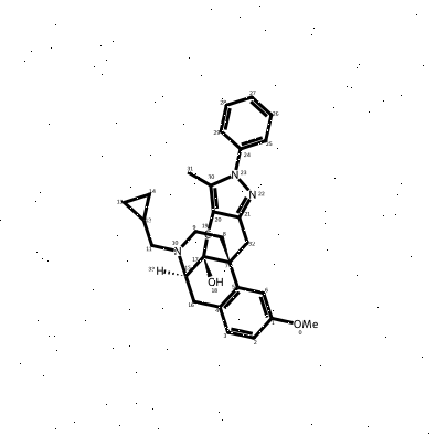 COc1ccc2c(c1)[C@]13CCN(CC4CC4)[C@H](C2)[C@]1(O)Cc1c(nn(-c2ccccc2)c1C)C3